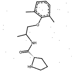 Cc1cccc(C)c1OCC(C)NC(=O)[C@@H]1CCCN1